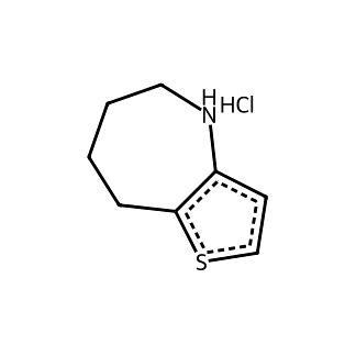 Cl.c1cc2c(s1)CCCCN2